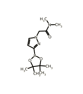 CN(C)C(=O)Cn1ccc(B2OC(C)(C)C(C)(C)O2)n1